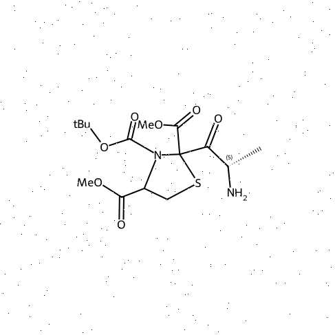 COC(=O)C1CSC(C(=O)OC)(C(=O)[C@H](C)N)N1C(=O)OC(C)(C)C